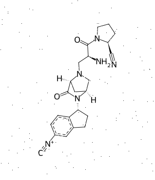 [C-]#[N+]c1ccc2c(c1)CC[C@H]2N1C(=O)[C@@H]2C[C@H]1CN2C[C@H](N)C(=O)N1CCC[C@H]1C#N